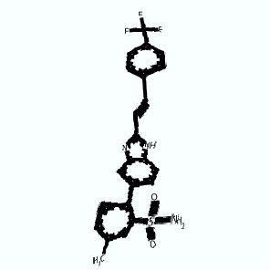 Cc1ccc(-c2ccc3[nH]c(/C=C/c4ccc(C(F)(F)F)cc4)nc3c2)c(S(N)(=O)=O)c1